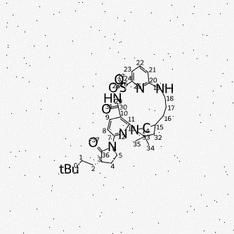 CC(C)(C)CC[C@H]1CCN(c2ccc3c(n2)N2CC(CCCNc4cccc(n4)S(=O)(=O)NC3=O)CC2(C)C)C1=O